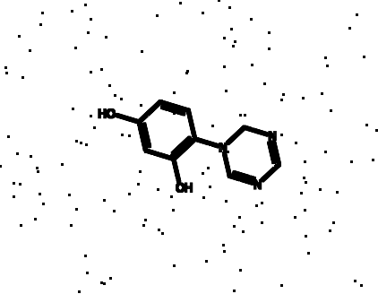 Oc1ccc(N2C=NC=NC2)c(O)c1